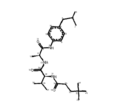 CC(C)Cc1ccc(NC(=O)[C@H](C)NC(=O)[C@@H](NC(=O)CCC(C)(C)C)C(C)C)cc1